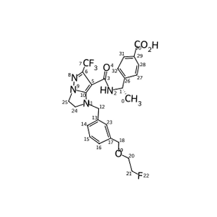 C[C@H](NC(=O)c1c(C(F)(F)F)nn2c1N(Cc1cccc(COCCF)c1)CC2)c1ccc(C(=O)O)cc1